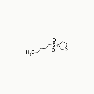 CCCCCS(=O)(=O)N1[CH]SCC1